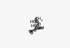 COc1ccc(C(=O)C=CC2C(O)=CC(OCCCP(=O)=O)=CC2O)cc1O.[KH]